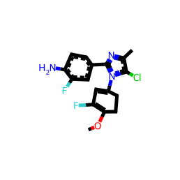 COC1=C(F)C=C(n2c(-c3ccc(N)c(F)c3)nc(C)c2Cl)CC1